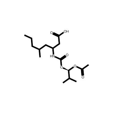 CCCC(C)CC(CC(=O)O)NC(=O)O[C@@H](OC(C)=O)C(C)C